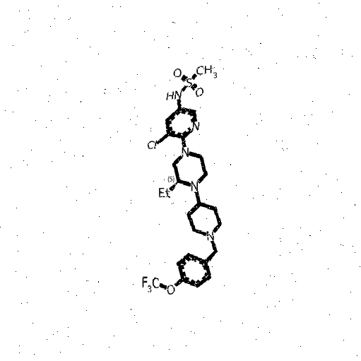 CC[C@H]1CN(c2ncc(NS(C)(=O)=O)cc2Cl)CCN1C1CCN(Cc2ccc(OC(F)(F)F)cc2)CC1